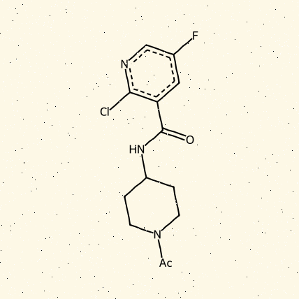 CC(=O)N1CCC(NC(=O)c2cc(F)cnc2Cl)CC1